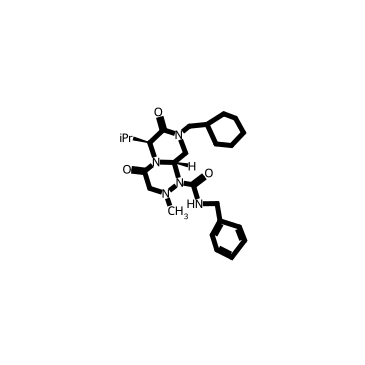 CC(C)[C@H]1C(=O)N(CC2CCCCC2)C[C@H]2N1C(=O)CN(C)N2C(=O)NCc1ccccc1